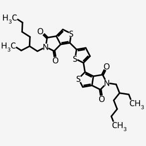 CCCCC(CC)CN1C(=O)c2csc(-c3ccc(-c4scc5c4C(=O)N(CC(CC)CCCC)C5=O)s3)c2C1=O